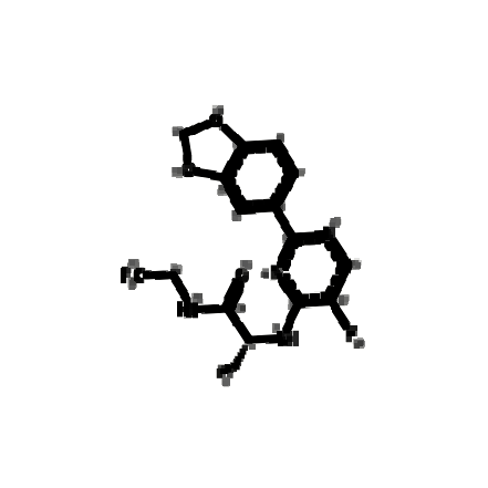 CC(C)[C@@H](Nc1nc(-c2ccc3c(c2)OCO3)ncc1F)C(=O)NCC(F)(F)F